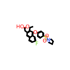 CCc1c(CC(=O)O)cc2ccc(F)cc2c1Oc1ccc(S(=O)(=O)N2CCCC2)cc1